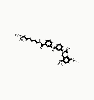 COc1ccc(OC)c(CN(C(=O)O)c2ccnc(Nc3cccc(C(=O)NCCCCCCN(C)C)c3)n2)c1